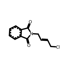 O=C1c2ccccc2C(=O)N1CC=CCCl